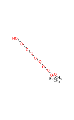 CCC(C)(C)C(=O)OCCOCCOCCOCCOCCOCCOCCCOCCCO